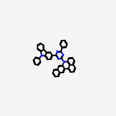 c1ccc(-c2nc(-c3ccc4c(c3)c3ccccc3n4-c3ccccc3)nc(N3c4cc5ccccc5cc4-c4cccc5cccc3c45)n2)cc1